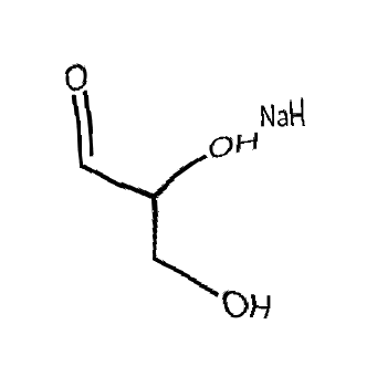 O=CC(O)CO.[NaH]